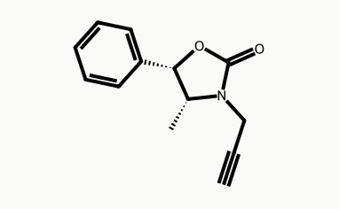 C#CCN1C(=O)O[C@@H](c2ccccc2)[C@H]1C